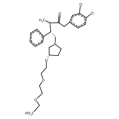 CN(C(=O)Cc1ccc(Cl)c(Cl)c1)[C@H](CN1CC[C@H](OCCOCCOCC(=O)O)C1)c1ccccc1